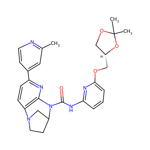 Cc1cc(-c2ccc3c(n2)N(C(=O)Nc2cccc(OC[C@@H]4COC(C)(C)O4)n2)C2CCN3C2)ccn1